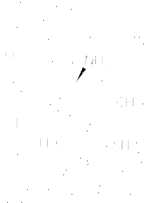 CC(C)(S)[C@H](N)C(=O)I